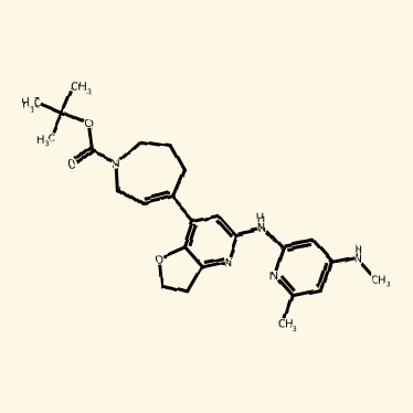 CNc1cc(C)nc(Nc2cc(C3=CCN(C(=O)OC(C)(C)C)CCC3)c3c(n2)CCO3)c1